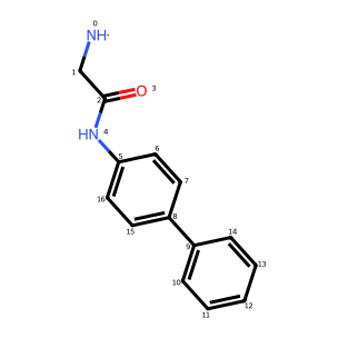 [NH]CC(=O)Nc1ccc(-c2ccccc2)cc1